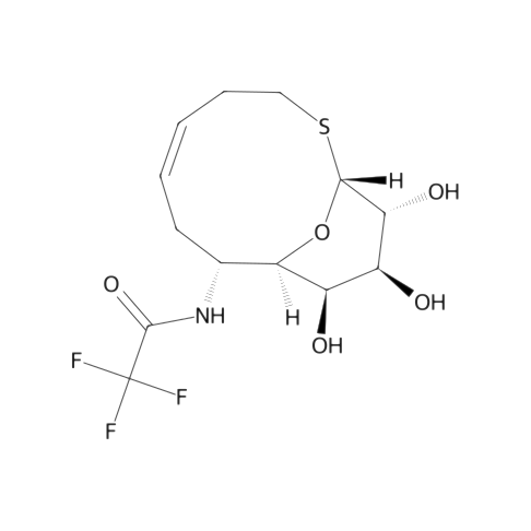 O=C(N[C@@H]1CC=CCCS[C@H]2O[C@H]1[C@H](O)[C@H](O)[C@H]2O)C(F)(F)F